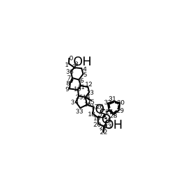 CC[C@]1(O)CCC2C(=CCC3C2CCC2(C)C(CCC(CC(C)O)S(=O)(=O)c4ccccc4)CCC32)C1